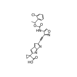 CC(OC(=O)Nc1conc1C#CC1=NC2=NC(C3(C(=O)O)CC3)=CC2=C1)c1ccccc1Cl